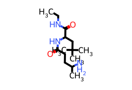 CCNC(=O)C(CC(C)(C)C)NC(=O)CCC(C)N